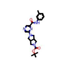 Cc1cccc(NC(=O)c2cncc(N3CC4CN(C(=O)OC(C)(C)C)CC4C3)n2)c1